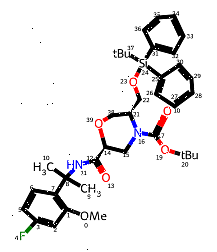 COc1cc(F)ccc1C(C)(C)NC(=O)[C@@H]1CN(C(=O)OC(C)(C)C)[C@H](CO[Si](c2ccccc2)(c2ccccc2)C(C)(C)C)CO1